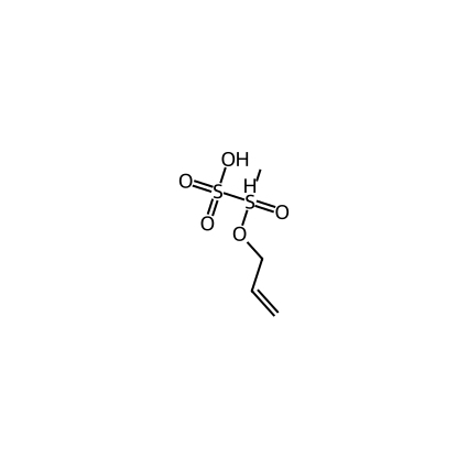 C=CCO[SH](C)(=O)S(=O)(=O)O